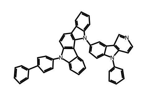 c1ccc(-c2ccc(-n3c4ccccc4c4c3ccc3c5ccccc5n(-c5ccc6c(c5)c5cnccc5n6-c5ccccc5)c34)cc2)cc1